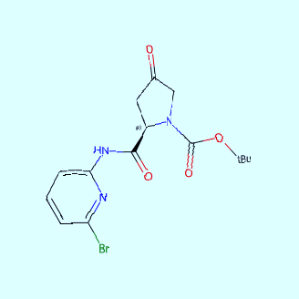 CC(C)(C)OC(=O)N1CC(=O)C[C@@H]1C(=O)Nc1cccc(Br)n1